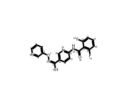 CCC(=NOc1cccnc1)c1ccc(NC(=O)c2c(F)cccc2F)nc1